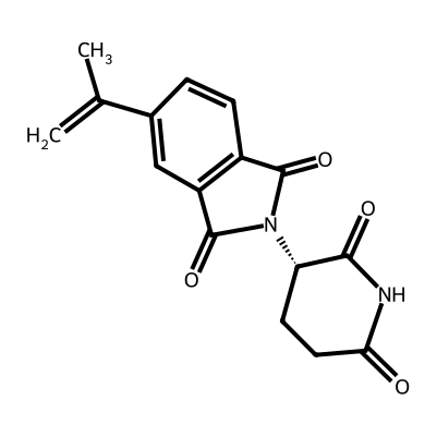 C=C(C)c1ccc2c(c1)C(=O)N([C@H]1CCC(=O)NC1=O)C2=O